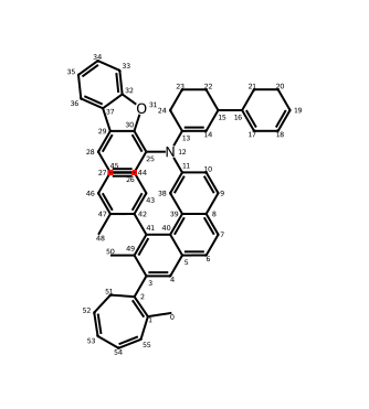 CC1=C(c2cc3ccc4ccc(N(C5=CC(C6=CC=CCC6)CCC5)c5cccc6c5oc5ccccc56)cc4c3c(-c3ccccc3C)c2C)CC=CC=C1